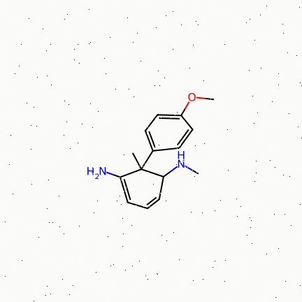 CNC1C=CC=C(N)C1(C)c1ccc(OC)cc1